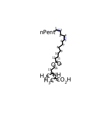 CCCCC/C=C\C/C=C\CCCCCCCC(=O)OCCC(C)NC(C)C(=O)O